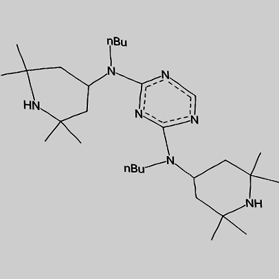 CCCCN(c1ncnc(N(CCCC)C2CC(C)(C)NC(C)(C)C2)n1)C1CC(C)(C)NC(C)(C)C1